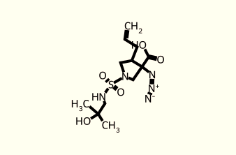 C=CCC1CN(S(=O)(=O)NCC(C)(C)O)CC1(N=[N+]=[N-])C(=O)O